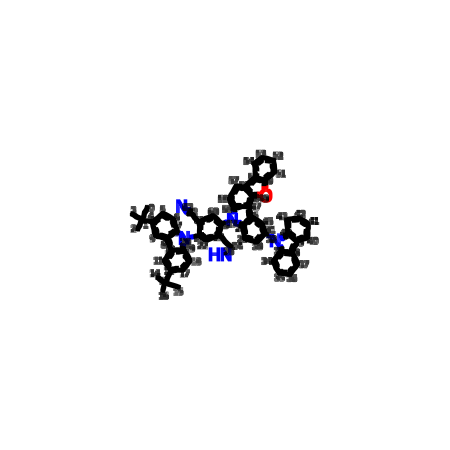 CC(C)(C)c1ccc2c(c1)c1cc(C(C)(C)C)ccc1n2-c1cc(C=N)c(-n2c3ccc(-n4c5ccccc5c5ccccc54)cc3c3c4oc5ccccc5c4ccc32)cc1C#N